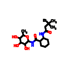 CCC(C)(C)CC(=O)NC1CCCCC1C(=O)NC1OC(C)C(O)C(O)C1O